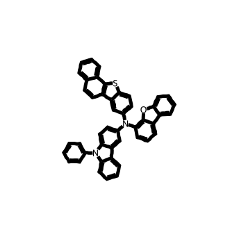 c1ccc(-n2c3ccccc3c3cc(N(c4ccc5sc6c7ccccc7ccc6c5c4)c4cccc5c4oc4ccccc45)ccc32)cc1